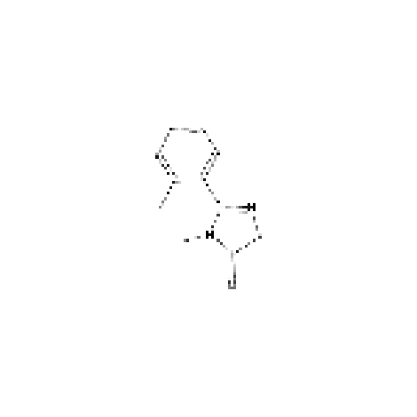 Cc1ccccc1C1=NCC(=O)N1C